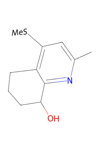 CSc1cc(C)nc2c1CCCC2O